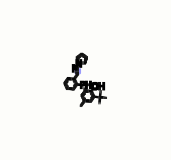 Cc1cc(Pc2ccccc2/C=N/n2cccc2)c(O)c(C(C)(C)C)c1